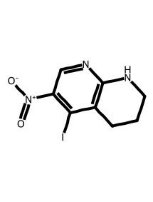 O=[N+]([O-])c1cnc2c(c1I)CCCN2